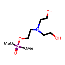 COP(=O)(OC)OCCN(CCO)CCO